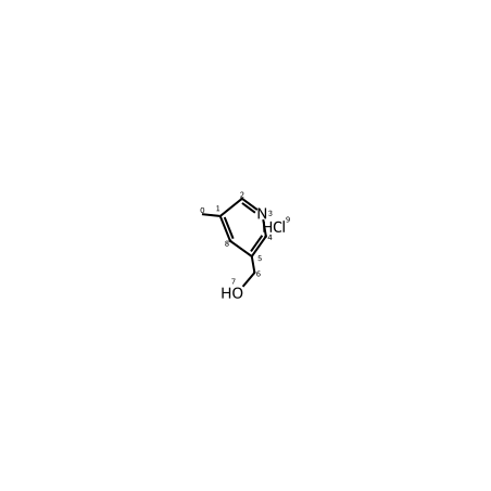 Cc1cncc(CO)c1.Cl